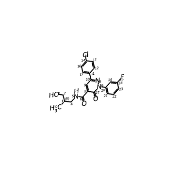 C[C@@H](CO)CNC(=O)c1cc(-c2ccc(Cl)cc2)nn(-c2cccc(F)c2)c1=O